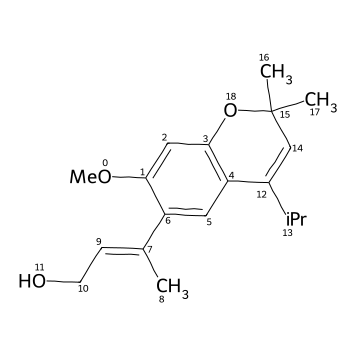 COc1cc2c(cc1C(C)=CCO)C(C(C)C)=CC(C)(C)O2